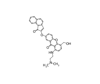 CN(C)CCNc1ccc(CO)c2oc3ccc(OC4=Cc5ccc6ccccc6c5C4=O)cc3c(=O)c12